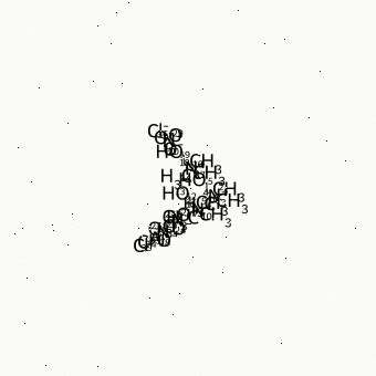 C[N+](C)(C)CCO.C[N+](C)(C)CCO.C[N+](C)(C)CCO.O=[N+]([O-])[O-].O=[N+]([O-])[O-].O=[N+]([O-])[O-].[Al+3].[Cl-].[Cl-].[Cl-]